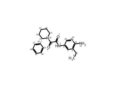 CCc1cc(NC(=O)C(=O)N2CCCC[C@H]2c2ccccc2)cnc1N